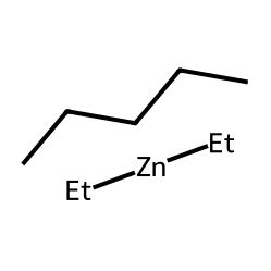 CCCCC.C[CH2][Zn][CH2]C